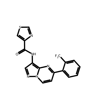 O=C(Nc1cnn2ccc(-c3ccccc3C(F)(F)F)nc12)c1cscn1